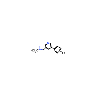 CCc1ccc(-c2cncc(CNC(=O)O)c2)cc1